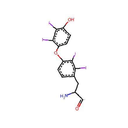 NC([C]=O)Cc1ccc(Oc2ccc(O)c(I)c2I)c(I)c1I